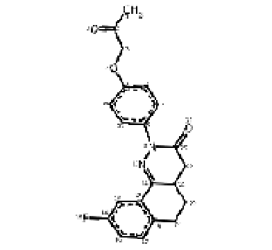 CC(=O)COc1ccc(N2N=C3c4cc(F)ccc4CCC3CC2=O)cc1